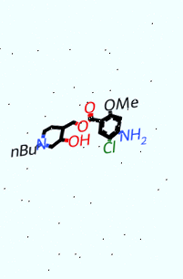 CCCCN1CCC(COC(=O)c2cc(Cl)c(N)cc2OC)C(O)C1